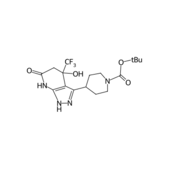 CC(C)(C)OC(=O)N1CCC(c2n[nH]c3c2C(O)(C(F)(F)F)CC(=O)N3)CC1